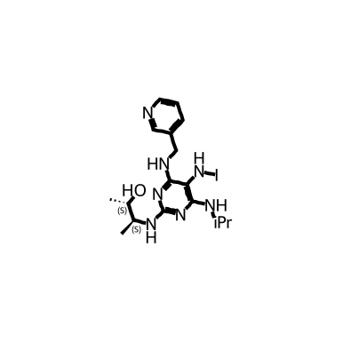 CC(C)Nc1nc(N[C@@H](C)[C@H](C)O)nc(NCc2cccnc2)c1NI